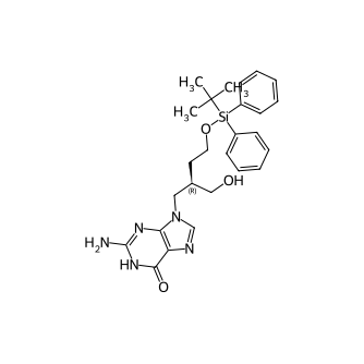 CC(C)(C)[Si](OCC[C@@H](CO)Cn1cnc2c(=O)[nH]c(N)nc21)(c1ccccc1)c1ccccc1